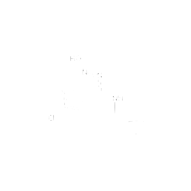 On1nc(NCC2CC2)c2cc(Cl)sc21